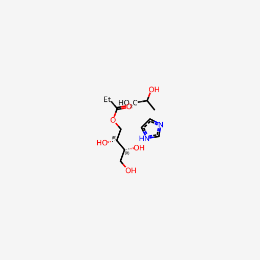 CC(O)C(=O)O.CCC(=O)OC[C@@H](O)[C@H](O)CO.c1c[nH]cn1